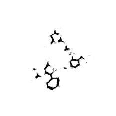 CCCCCCCCSC(=O)Oc1cc(Cl)nnc1-c1ccccc1.COc1cc(OC)nc(NC(=O)NS(=O)(=O)c2cc(NC=O)ccc2C(=O)N(C)C)n1